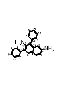 Nc1ccc2cc(-c3ccccc3)c(N)c(-c3ccccc3)c2c1